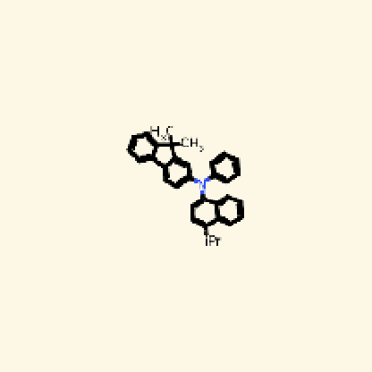 CC(C)c1ccc(N(c2ccccc2)c2ccc3c(c2)C(C)(C)c2ccccc2-3)c2ccccc12